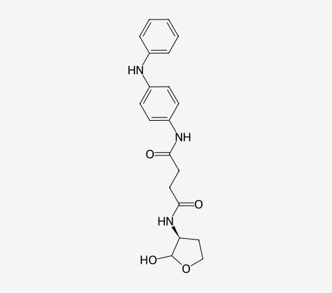 O=C(CCC(=O)N[C@H]1CCOC1O)Nc1ccc(Nc2ccccc2)cc1